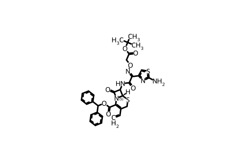 C=CC1=C(C(=O)OC(c2ccccc2)c2ccccc2)N2C(=O)C(NC(=O)C(=NOCC(=O)OC(C)(C)C)c3csc(N)n3)[C@@H]2SC1